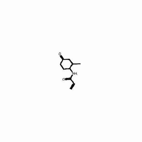 C=CC(=O)NC1CCC(=O)CC1C